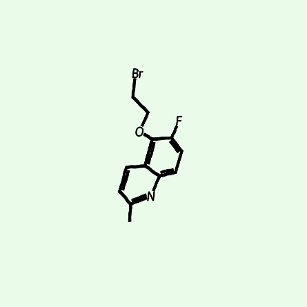 Cc1ccc2c(OCCBr)c(F)ccc2n1